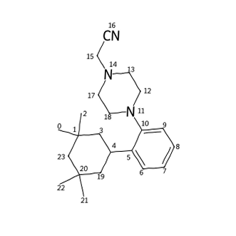 CC1(C)CC(c2ccccc2N2CCN(CC#N)CC2)CC(C)(C)C1